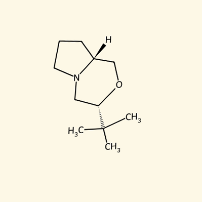 CC(C)(C)[C@@H]1CN2CCC[C@@H]2CO1